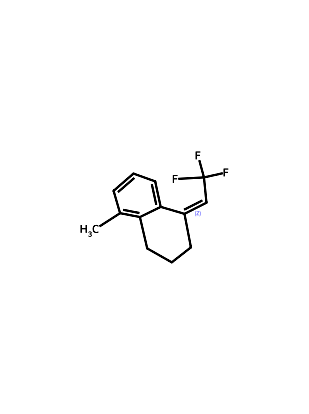 Cc1cccc2c1CCC/C2=C/C(F)(F)F